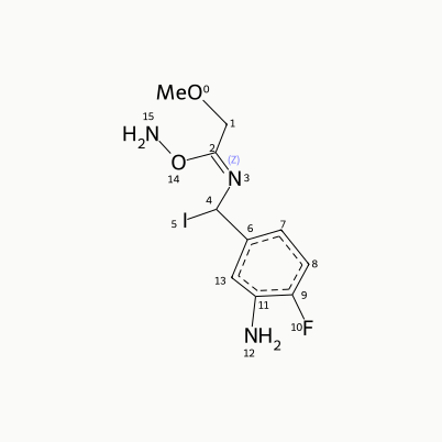 COC/C(=N/C(I)c1ccc(F)c(N)c1)ON